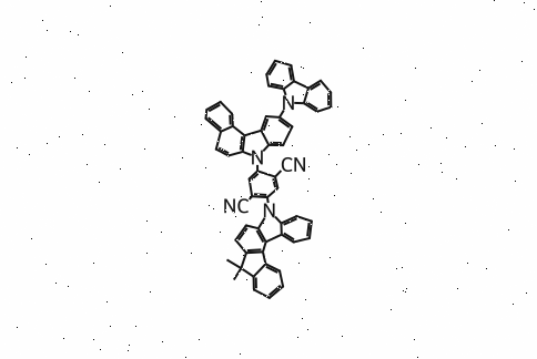 CC1(C)c2ccccc2-c2c1ccc1c2c2ccccc2n1-c1cc(C#N)c(-n2c3ccc(-n4c5ccccc5c5ccccc54)cc3c3c4ccccc4ccc32)cc1C#N